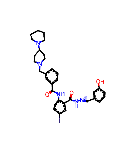 O=C(Nc1ccc(I)cc1C(=O)N/N=C/c1cccc(O)c1)c1cccc(CN2CCC(N3CCCCC3)CC2)c1